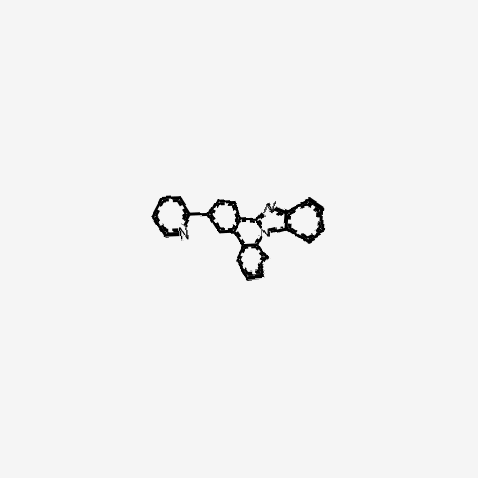 c1ccc(-c2ccc3c(c2)c2ccccc2n2c4ccccc4nc32)nc1